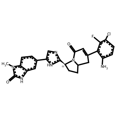 Cn1c(=O)[nH]c2cc(-c3cnc([C@@H]4CCC5CC(c6c(N)ccc(Cl)c6F)=CC(=O)N54)[nH]3)ccc21